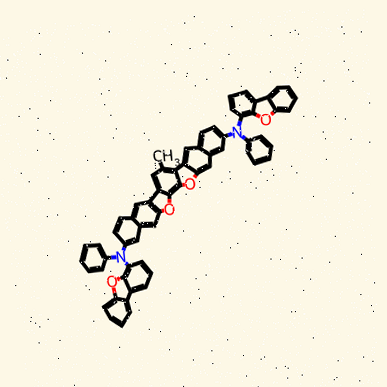 Cc1cc2c3cc4ccc(N(c5ccccc5)c5cccc6c5oc5ccccc56)cc4cc3oc2c2oc3cc4cc(N(c5ccccc5)c5cccc6c5oc5ccccc56)ccc4cc3c12